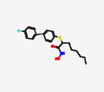 CCCCCCC(Sc1ccc(-c2ccc(F)cc2)cc1)C(=O)NO